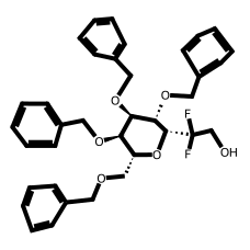 OCC(F)(F)[C@@H]1O[C@H](COCc2ccccc2)[C@@H](OCc2ccccc2)[C@@H](OCc2ccccc2)[C@@H]1OCc1ccccc1